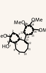 COc1ccc2c(c1O)CCCC/C=C\2c1cc(OC)c(OC)c(OC)c1